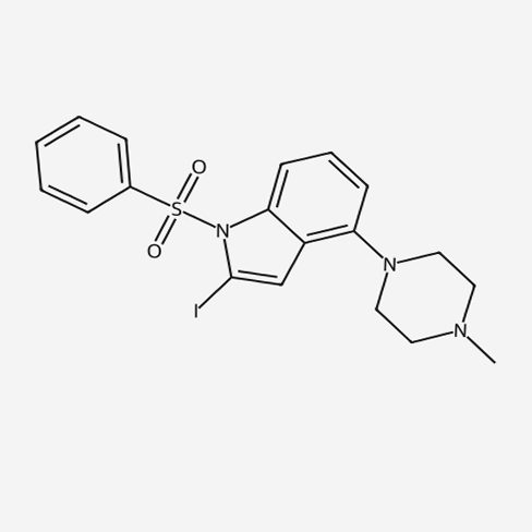 CN1CCN(c2cccc3c2cc(I)n3S(=O)(=O)c2ccccc2)CC1